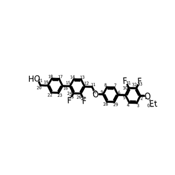 CCOc1ccc(-c2ccc(OCc3ccc(-c4ccc(CO)cc4)c(F)c3F)cc2)c(F)c1F